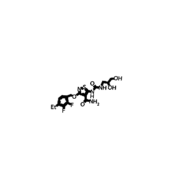 CCc1ccc(COc2nsc(NC(=O)NCC(O)CO)c2C(N)=O)c(F)c1F